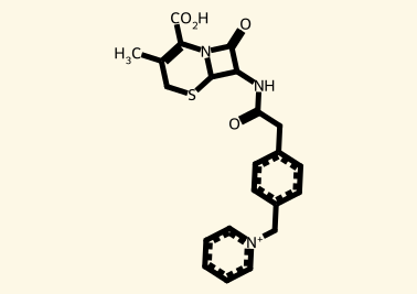 CC1=C(C(=O)O)N2C(=O)C(NC(=O)Cc3ccc(C[n+]4ccccc4)cc3)C2SC1